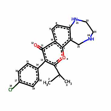 CC(C)c1oc2c3c(ccc2c(=O)c1-c1ccc(Cl)cc1)NCCNC3